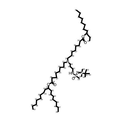 CCCCCCCCC(CC)OC(=O)CCCCCCCN(CCCCCCCC(=O)OC(CCCCCCCC)CCCCCCCC)CCCNS(C)(=O)=NS(C)(C)C(C)(C)C